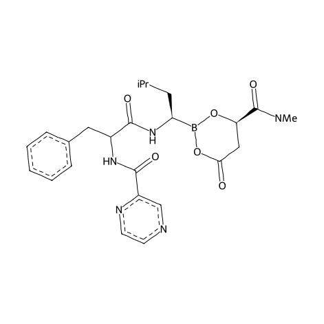 CNC(=O)[C@H]1CC(=O)OB([C@H](CC(C)C)NC(=O)C(Cc2ccccc2)NC(=O)c2cnccn2)O1